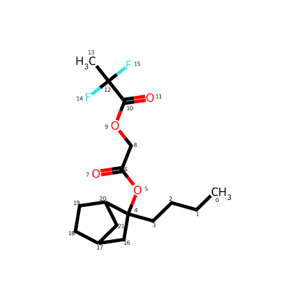 CCCCC1(OC(=O)COC(=O)C(C)(F)F)CC2CCC1C2